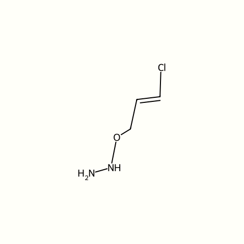 NNOCC=CCl